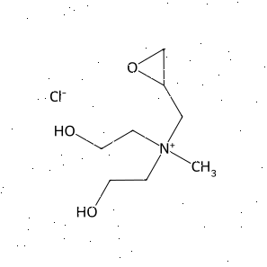 C[N+](CCO)(CCO)CC1CO1.[Cl-]